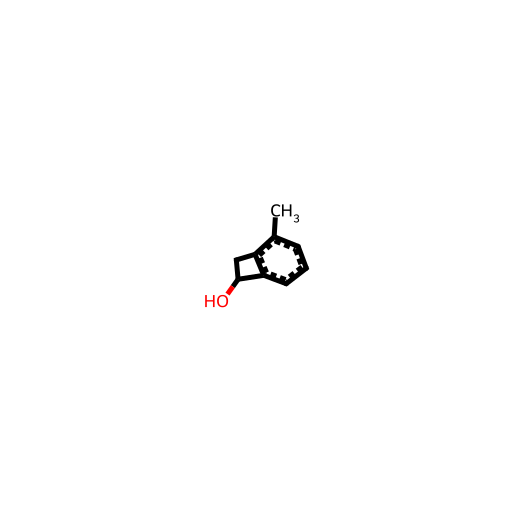 Cc1cccc2c1CC2O